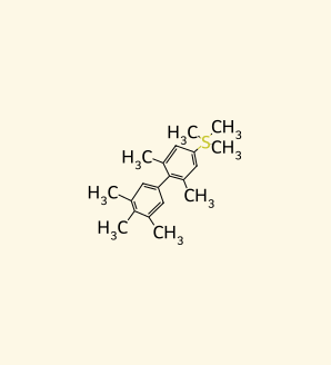 Cc1cc(-c2c(C)cc(S(C)(C)C)cc2C)cc(C)c1C